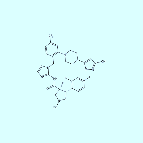 CC(C)(C)N1C[C@@H](c2ccc(F)cc2F)[C@](F)(C(=O)Nc2nccn2Cc2ccc(C(F)(F)F)cc2N2CCC(c3cc(O)no3)CC2)C1